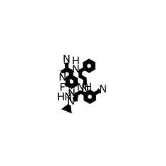 N#CCCC(Nc1c(C#N)cnc2c(F)cc(NC(C3=CN(C4CC4)NN3)c3cccc(C#N)c3)cc12)c1ccccc1